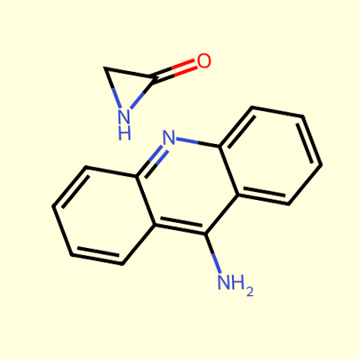 Nc1c2ccccc2nc2ccccc12.O=C1CN1